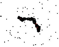 C=CC(=O)OC(COCCCCOCCOc1cccc(OCCOCCCCOCC(COc2ccccc2)OC(=O)C(=C)C)c1)COc1ccccc1